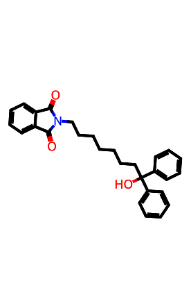 O=C1c2ccccc2C(=O)N1CCCCCCCC(O)(c1ccccc1)c1ccccc1